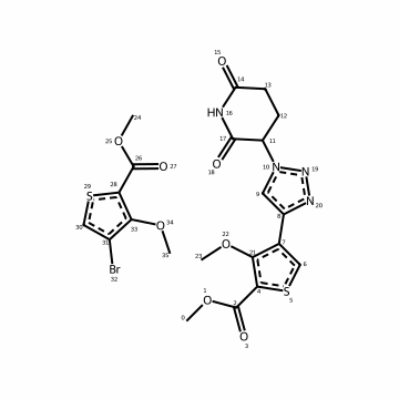 COC(=O)c1scc(-c2cn(C3CCC(=O)NC3=O)nn2)c1OC.COC(=O)c1scc(Br)c1OC